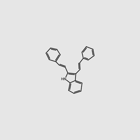 C(=Cc1[nH]c2ccccc2c1C=Cc1ccccc1)c1ccccc1